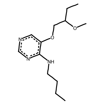 CCCCNc1ncncc1OCC(CC)OC